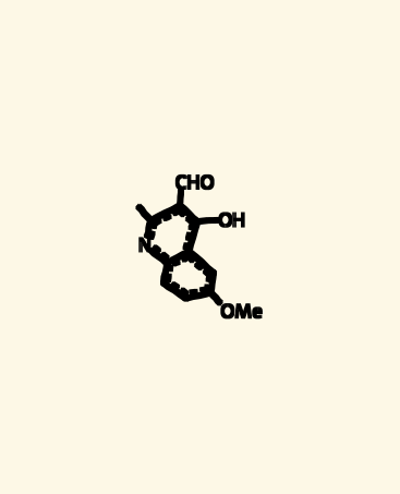 COc1ccc2nc(C)c(C=O)c(O)c2c1